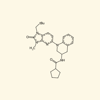 Cn1c(=O)n(CC(C)(C)C)c2ccc(N3CC(NC(=O)C4CCCC4)Cc4ccccc43)nc21